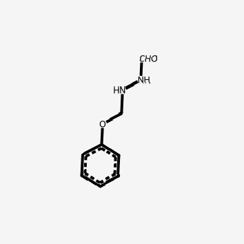 O=CNNCOc1ccccc1